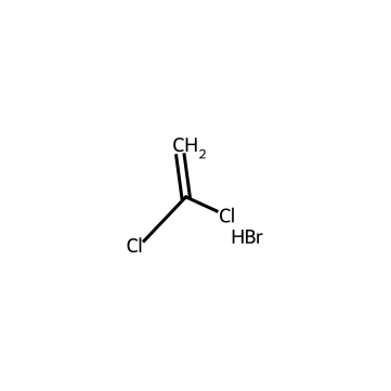 Br.C=C(Cl)Cl